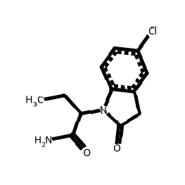 CCC(C(N)=O)N1C(=O)Cc2cc(Cl)ccc21